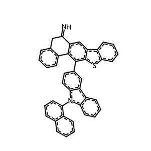 N=C1Cc2ccccc2-c2c1cc1c(sc3ccccc31)c2-c1ccc2c(c1)c1ccccc1n2-c1cccc2ccccc12